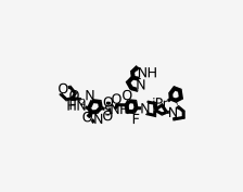 CC(C)c1ccccc1[C@@H]1CCCN1C1CC2(CCN(c3cc(Oc4cnc5[nH]ccc5c4)c(C(=O)NS(=O)(=O)c4cc([N+](=O)[O-])c(NCC5(F)CCOCC5)c5ocnc45)cc3F)CC2)C1